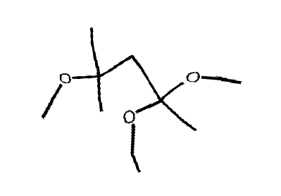 COC(C)(C)CC(C)(OC)OC